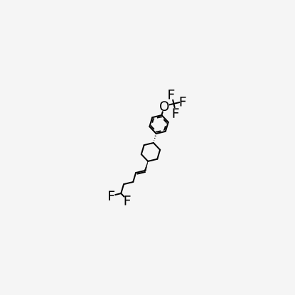 FC(F)CCC=C[C@H]1CC[C@H](c2ccc(OC(F)(F)F)cc2)CC1